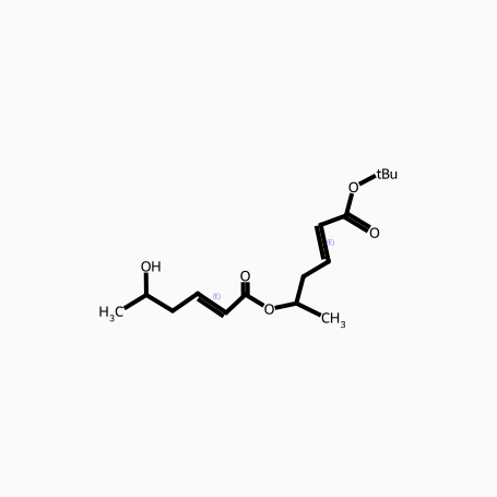 CC(O)C/C=C/C(=O)OC(C)C/C=C/C(=O)OC(C)(C)C